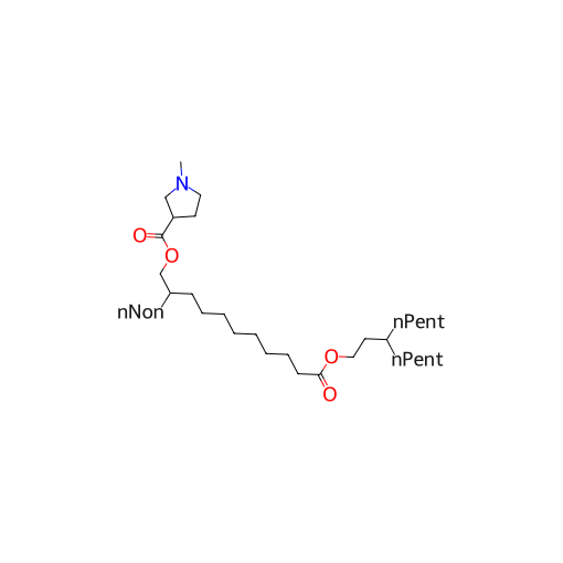 CCCCCCCCCC(CCCCCCCCC(=O)OCCC(CCCCC)CCCCC)COC(=O)C1CCN(C)C1